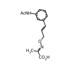 CC(=O)Nc1cccc(C=CCON=C(C)C(=O)O)c1